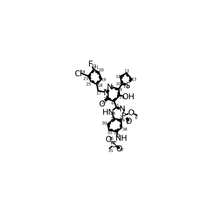 COP1(=O)N=C(c2c(O)c(-c3cccs3)nn(Cc3ccc(F)c(Cl)c3)c2=O)Nc2ccc(NS(C)(=O)=O)cc21